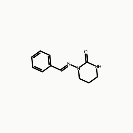 O=C1NCCCN1N=Cc1ccccc1